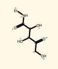 CCNC(=O)C(O)C(O)C(=O)CO